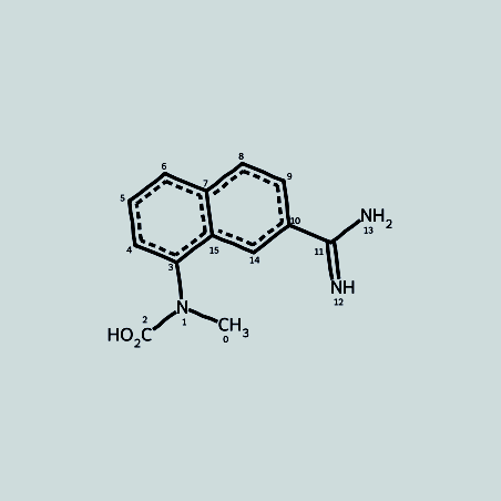 CN(C(=O)O)c1cccc2ccc(C(=N)N)cc12